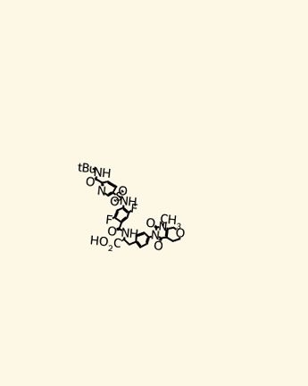 Cn1c2c(c(=O)n(-c3ccc(C[C@H](NC(=O)c4cc(F)c(NS(=O)(=O)c5ccc(C(=O)NC(C)(C)C)nc5)cc4F)C(=O)O)cc3)c1=O)CCOC2